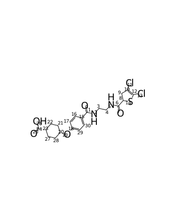 O=C(NCCNC(=O)C1CC(Cl)=C(Cl)S1)c1ccc(O[C@H]2CC[C@@H](C(=O)O)CC2)cc1